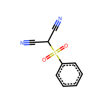 N#CC(C#N)S(=O)(=O)c1ccccc1